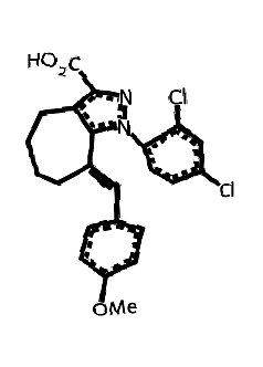 COc1ccc(C=C2CCCCc3c(C(=O)O)nn(-c4ccc(Cl)cc4Cl)c32)cc1